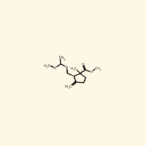 C=C1CCC(C)(C(=O)OC)C1COC(C)OC